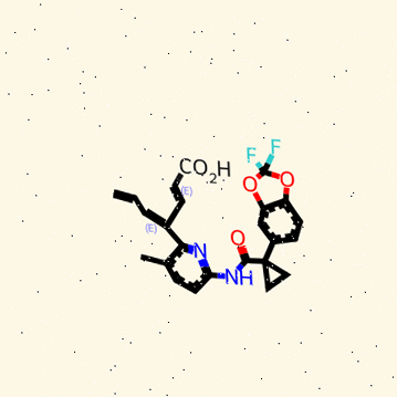 C=C/C=C(\C=C\C(=O)O)c1nc(NC(=O)C2(c3ccc4c(c3)OC(F)(F)O4)CC2)ccc1C